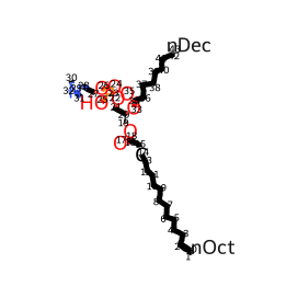 CCCCCCCC/C=C\CCCCCCCCCCCCCC(=O)OC[C@H](COP(=O)(O)OCC[N+](C)(C)C)OC(=O)CCCCCCCCCCCCCCCCC